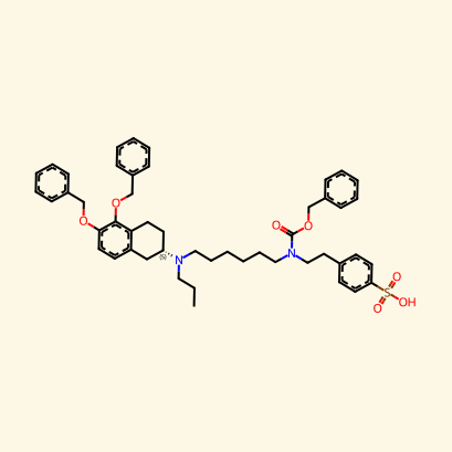 CCCN(CCCCCCN(CCc1ccc(S(=O)(=O)O)cc1)C(=O)OCc1ccccc1)[C@H]1CCc2c(ccc(OCc3ccccc3)c2OCc2ccccc2)C1